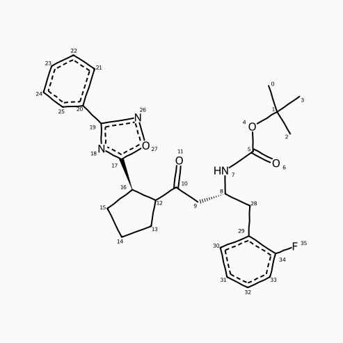 CC(C)(C)OC(=O)N[C@@H](CC(=O)C1CCC[C@H]1c1nc(-c2ccccc2)no1)Cc1ccccc1F